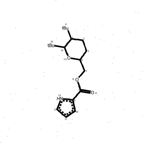 CC(C)(C)C1CCC(COC(=O)c2ccc[nH]2)OC1C(C)(C)C